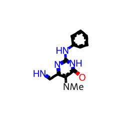 CNc1c(C=N)nc(Nc2ccccc2)[nH]c1=O